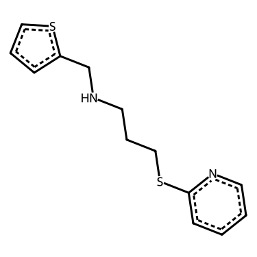 c1ccc(SCCCNCc2cccs2)nc1